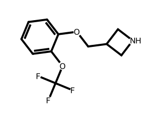 FC(F)(F)Oc1ccccc1OCC1CNC1